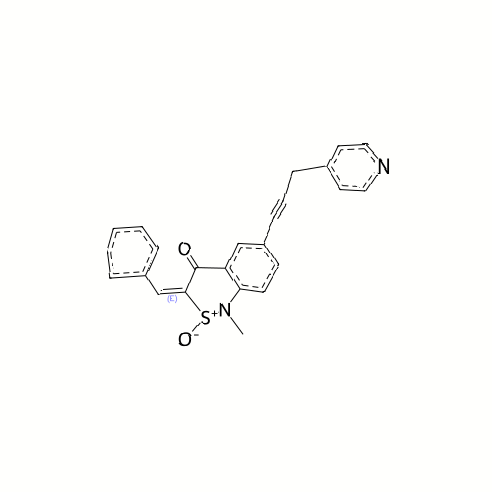 CN1c2ccc(C#CCc3ccncc3)cc2C(=O)/C(=C\c2ccccc2)[S+]1[O-]